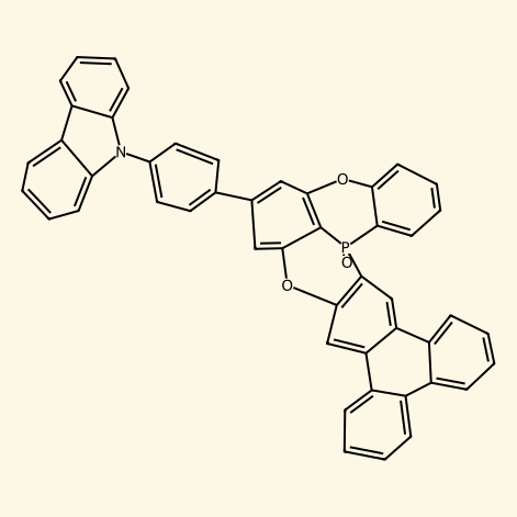 O=P12c3ccccc3Oc3cc(-c4ccc(-n5c6ccccc6c6ccccc65)cc4)cc(c31)Oc1cc3c4ccccc4c4ccccc4c3cc12